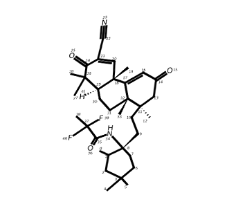 CC1CC(C)(C)CC[C@@]1(CC[C@]1(C)CC(=O)C=C2[C@@]3(C)C=C(C#N)C(=O)C(C)(C)[C@@H]3CC[C@]21C)NC(=O)C(C)(F)F